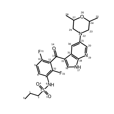 CCCS(=O)(=O)Nc1ccc(F)c(C(=O)c2c[nH]c3ncc(N4CC(C)OC(C)C4)cc23)c1F